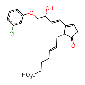 O=C(O)CCCC=CC[C@H]1C(=O)CC=C1/C=C/[C@@H](O)COc1cccc(Cl)c1